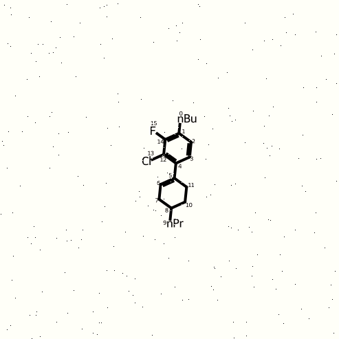 CCCCc1ccc(C2=CCC(CCC)CC2)c(Cl)c1F